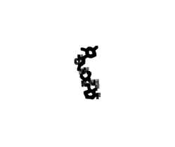 Cc1ccc(-c2cc(CN3Cc4nc(-c5cccc(F)c5F)[nH]c4C=N3)on2)c(C)c1